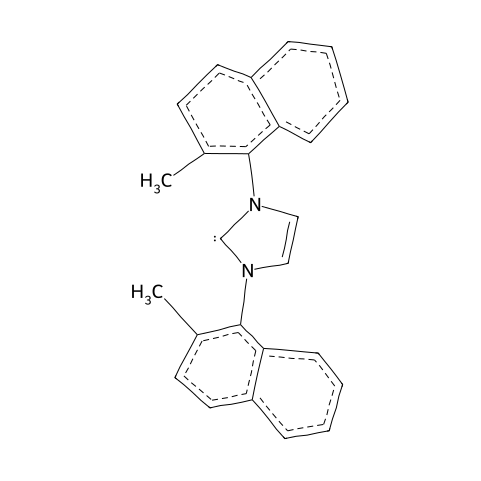 Cc1ccc2ccccc2c1N1[C]N(c2c(C)ccc3ccccc23)C=C1